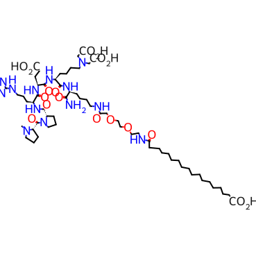 CN1CCC[C@H]1C(=O)N1CCC[C@H]1C(=O)N[C@@H](CCCNC(=N)N)C(=O)N[C@@H](CCC(=O)O)C(=O)N[C@@H](CCCCN(CC(=O)O)CC(=O)O)C(=O)N[C@@H](CCCCNC(=O)COCCOCCNC(=O)CCCCCCCCCCCCCCCCC(=O)O)C(N)=O